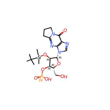 CC(C)(C)[Si](C)(C)O[C@@H]1[C@H](O[PH](=O)O)[C@@H](CO)O[C@H]1n1cnc2c(=O)n3c(nc21)CCC3